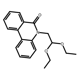 CCOC(Cn1c(=O)c2ccccc2c2ccccc21)OCC